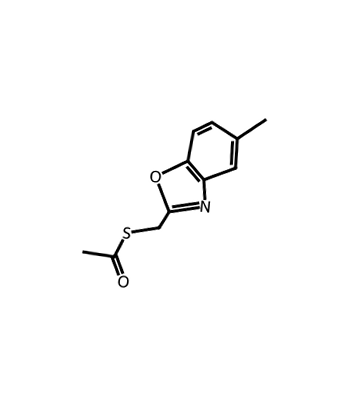 CC(=O)SCc1nc2cc(C)ccc2o1